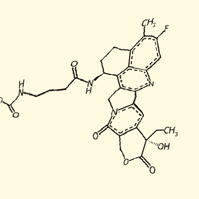 CC[C@@]1(O)C(=O)OCc2c1cc1n(c2=O)Cc2c-1nc1cc(F)c(C)c3c1c2[C@@H](NC(=O)CCCNC(=O)O)CC3